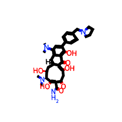 CN(C)c1cc(-c2ccc(CN3CCCC3)cc2)c(O)c2c1C[C@H]1C[C@H](O)[C@@H](N(C)C)/C(O)=C(/C(N)=O)C(=O)C/C(O)=C\1C2=O